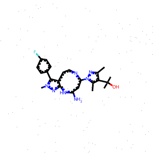 Cc1nn(-c2cc(N)[nH]c3nn(C)c(-c4ccc(F)cc4)c3ccn2)c(C)c1C(C)(C)O